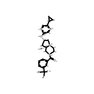 O=C(c1cccc(C(F)(F)F)c1)N1CCN2C[C@@H](Oc3cnc(C4CC4)cn3)C[C@@H]2C1